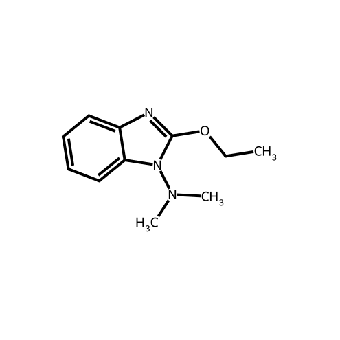 CCOc1nc2ccccc2n1N(C)C